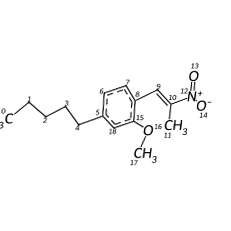 CCCCCc1ccc(/C=C(\C)[N+](=O)[O-])c(OC)c1